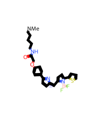 CNCCCCCNC(=O)COc1ccc(C2=N/C(=C\c3ccc(-c4cccs4)n3B(F)F)C=C2)cc1